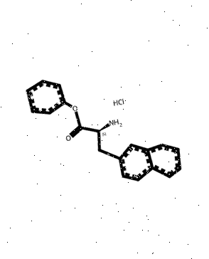 Cl.N[C@@H](Cc1ccc2ccccc2c1)C(=O)Oc1ccccc1